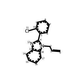 C=CCn1c(-c2ccccc2Cl)nc2ccccc21